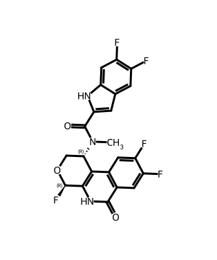 CN(C(=O)c1cc2cc(F)c(F)cc2[nH]1)[C@H]1CO[C@H](F)c2[nH]c(=O)c3cc(F)c(F)cc3c21